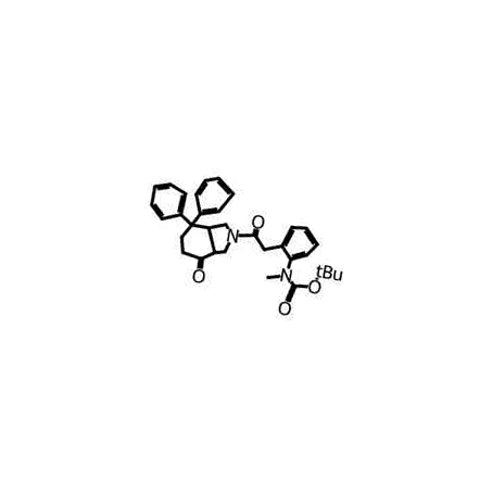 CN(C(=O)OC(C)(C)C)c1ccccc1CC(=O)N1CC2C(=O)CCC(c3ccccc3)(c3ccccc3)C2C1